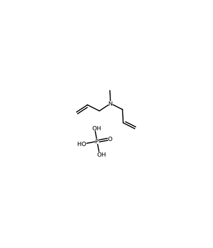 C=CCN(C)CC=C.O=P(O)(O)O